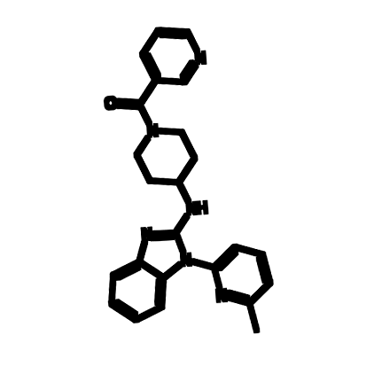 Cc1cccc(-n2c(NC3CCN(C(=O)c4cccnc4)CC3)nc3ccccc32)n1